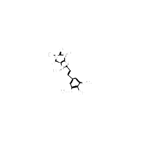 CCn1c(=O)c2c(nc(C=Cc3cc(OC)c(O)c(OC)c3)n2C)n(CC)c1=O